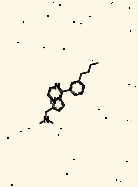 CCCCc1cccc(-c2nccn3c(CN(C)C)ccc23)c1